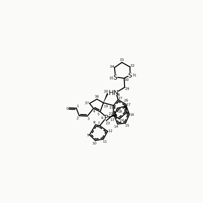 C=C/C=C\C1=C(P(c2ccccc2)c2ccccc2)[C@@](C)(c2c(C)cccc2NCC2SCCCS2)CC1